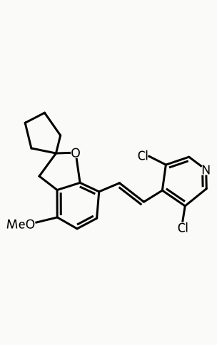 COc1ccc(C=Cc2c(Cl)cncc2Cl)c2c1CC1(CCCC1)O2